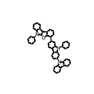 c1ccc(-n2c3cc(-c4cccc5c4oc4c5c5ccccc5n4-c4ccccc4)ccc3c3ccc(-n4c5ccccc5c5ccccc54)cc32)cc1